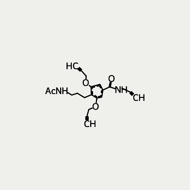 C#CCNC(=O)c1cc(OCC#C)c(CCCNC(C)=O)c(OCC#C)c1